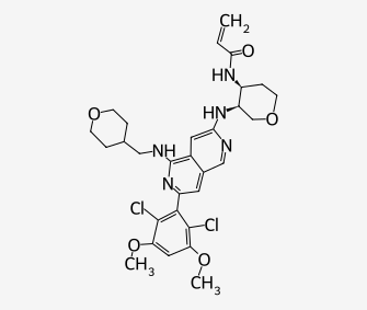 C=CC(=O)N[C@H]1CCOC[C@H]1Nc1cc2c(NCC3CCOCC3)nc(-c3c(Cl)c(OC)cc(OC)c3Cl)cc2cn1